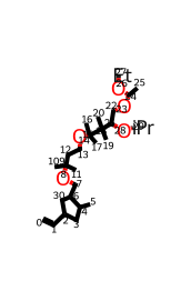 C=CC1CC(C)C(COC(C)(C)CCOC(C)(C)C(C)(C)C(COC(C)OCC)OC(C)C)C1